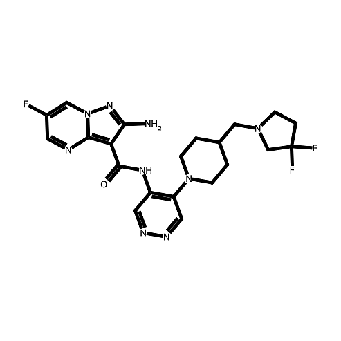 Nc1nn2cc(F)cnc2c1C(=O)Nc1cnncc1N1CCC(CN2CCC(F)(F)C2)CC1